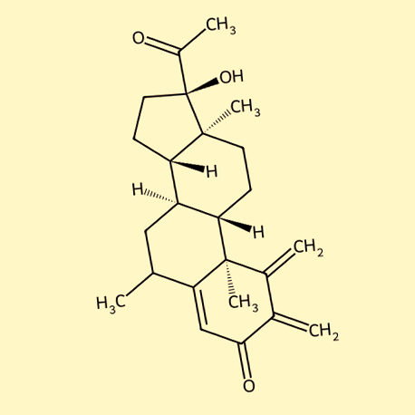 C=C1C(=C)[C@@]2(C)C(=CC1=O)C(C)C[C@@H]1[C@@H]2CC[C@@]2(C)[C@H]1CC[C@]2(O)C(C)=O